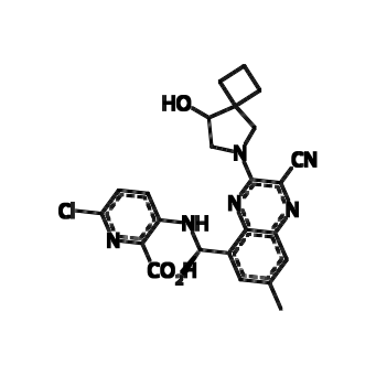 Cc1cc([C@@H](C)Nc2ccc(Cl)nc2C(=O)O)c2nc(N3CC(O)C4(CCC4)C3)c(C#N)nc2c1